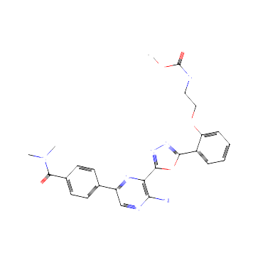 CN(C)C(=O)c1ccc(-c2cnc(N)c(-c3nnc(-c4ccccc4OCCNC(=O)OC(C)(C)C)o3)n2)cc1